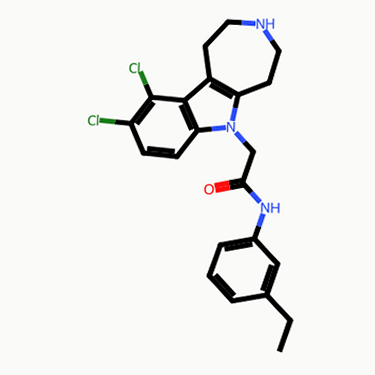 CCc1cccc(NC(=O)Cn2c3c(c4c(Cl)c(Cl)ccc42)CCNCC3)c1